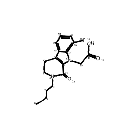 CCCCN1CCc2c(n(CC(=O)O)c3c(F)cccc23)C1=O